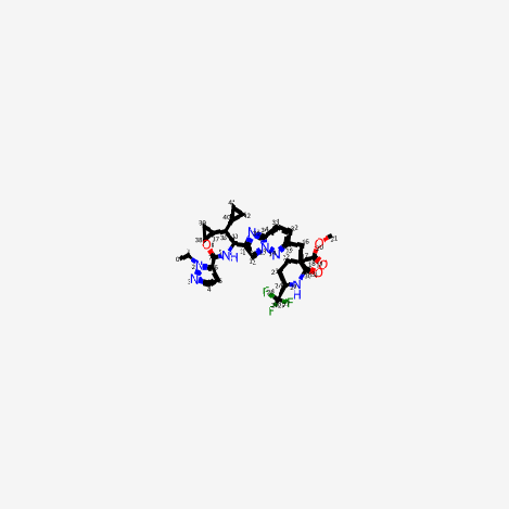 CCn1nccc1C(=O)NC(c1cn2nc(CC3(C(=O)OC)CCC(C(F)(F)F)NC3=O)ccc2n1)C(C1CC1)C1CC1